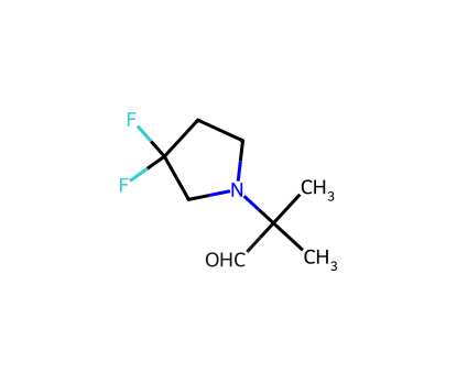 CC(C)(C=O)N1CCC(F)(F)C1